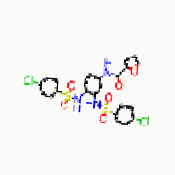 O=C(Nc1ccc(NS(=O)(=O)c2ccc(Cl)cc2)c(NS(=O)(=O)c2ccc(Cl)cc2)c1)c1ccco1